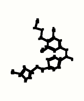 CC(Cc1cc(Cl)c(OCCCl)c(Cl)c1)c1ccc(OCc2coc(Cl)n2)cc1